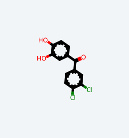 O=C(c1ccc(O)c(O)c1)c1ccc(Cl)c(Cl)c1